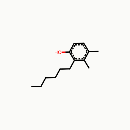 CCCCCCc1c(O)ccc(C)c1C